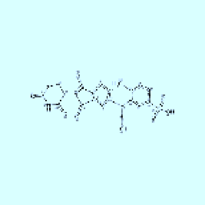 C#CC(c1ccc2c(c1)C(=O)N(C1CCC(=O)NC1=O)C2=O)c1cc(S(=O)(=O)O)ccc1C